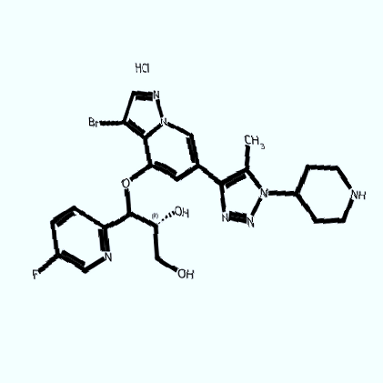 Cc1c(-c2cc(OC(c3ccc(F)cn3)[C@H](O)CO)c3c(Br)cnn3c2)nnn1C1CCNCC1.Cl